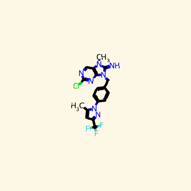 Cc1cc(C(F)(F)F)nn1-c1ccc(Cn2c(=N)n(C)c3cnc(Cl)nc32)cc1